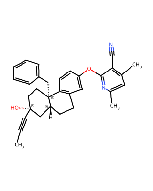 CC#C[C@@]1(O)CC[C@@]2(Cc3ccccc3)c3ccc(Oc4nc(C)cc(C)c4C#N)cc3CC[C@@H]2C1